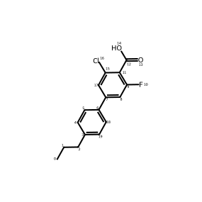 CCCc1ccc(-c2cc(F)c(C(=O)O)c(Cl)c2)cc1